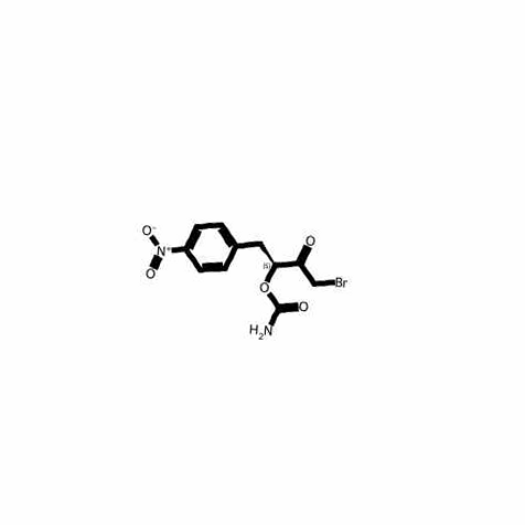 NC(=O)O[C@@H](Cc1ccc([N+](=O)[O-])cc1)C(=O)CBr